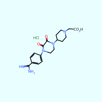 Cl.N=C(N)c1ccc(N2CCN(C3CCN(CC(=O)O)CC3)C(=O)C2=O)cc1